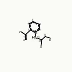 C=C(C)c1ccccc1NC(C)CC